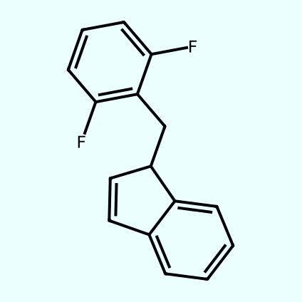 Fc1cccc(F)c1CC1C=Cc2ccccc21